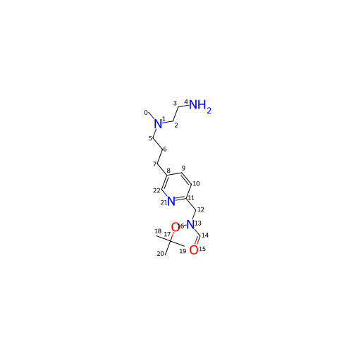 CN(CCN)CCCc1ccc(CN(C=O)OC(C)(C)C)nc1